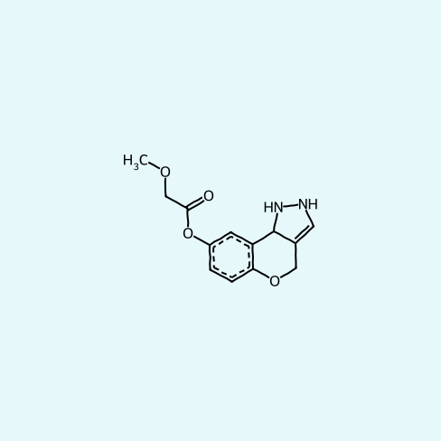 COCC(=O)Oc1ccc2c(c1)C1NNC=C1CO2